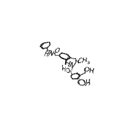 CC(Cc1ccc(CC(=O)NCCc2ccccc2)cc1)NCC(O)c1ccc(O)c(CO)c1